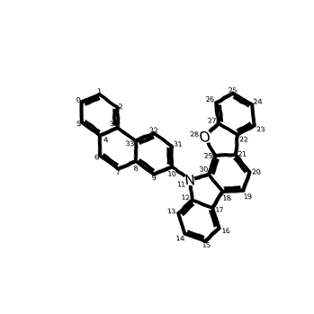 c1ccc2c(c1)ccc1cc(-n3c4ccccc4c4ccc5c6ccccc6oc5c43)ccc12